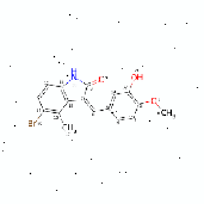 COc1ccc(C=C2C(=O)Nc3ccc(Br)c(C)c32)cc1O